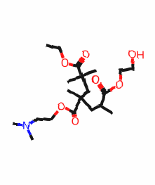 CCOC(=O)C(C)(C)CC(C)(CC(C)C(=O)OCCO)C(=O)OCCN(C)C